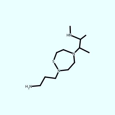 CNC(C)C(C)N1CCSN(CCCN)CC1